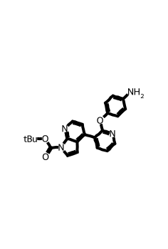 CC(C)(C)OC(=O)n1ccc2c(-c3cccnc3Oc3ccc(N)cc3)ccnc21